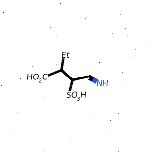 CCC(C(=O)O)C(C=N)S(=O)(=O)O